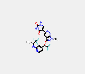 C[C@@H](Nc1cc([C@@H](Oc2nn(C)c3nnc(-c4c[nH]c(=O)[nH]c4=O)cc23)C(F)F)ccn1)C(F)(F)F